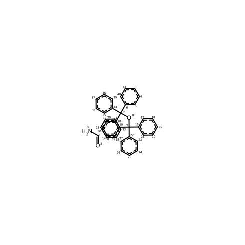 NC=O.c1ccc(C(OC(c2ccccc2)(c2ccccc2)c2ccccc2)(c2ccccc2)c2ccccc2)cc1